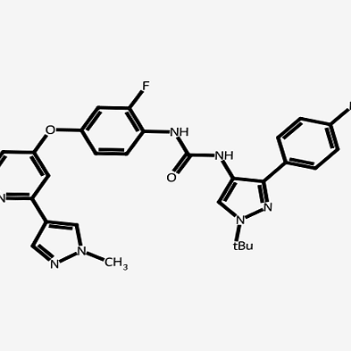 Cn1cc(-c2cc(Oc3ccc(NC(=O)Nc4cn(C(C)(C)C)nc4-c4ccc(F)cc4)c(F)c3)ccn2)cn1